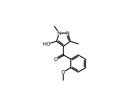 COc1ccccc1C(=O)c1c(C)nn(C)c1O